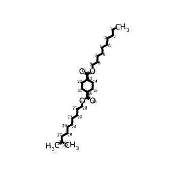 CCCCCCCCCCOC(=O)C1CCC(C(=O)OCCCCCCCCC(C)C)CC1